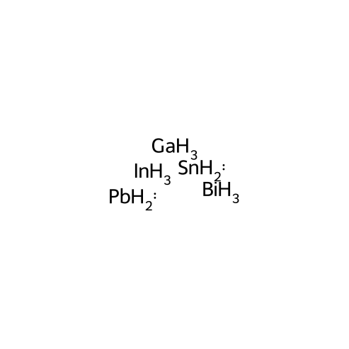 [BiH3].[GaH3].[InH3].[PbH2].[SnH2]